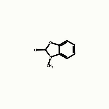 CN1c2ccccc2OC1Cl